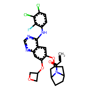 C=CC(=O)N1C2CCC1CC(Oc1cc3c(Nc4ccc(Cl)c(Cl)c4F)ncnc3cc1OC1COC1)C2